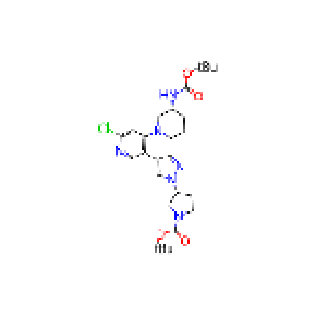 CC(C)(C)OC(=O)N[C@H]1CCCN(c2cc(Cl)ncc2-c2cnn([C@@H]3CCN(C(=O)OC(C)(C)C)C3)c2)C1